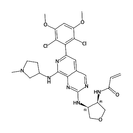 C=CC(=O)N[C@H]1COC[C@H]1Nc1ncc2cc(-c3c(Cl)c(OC)cc(OC)c3Cl)nc(NC3CCN(C)C3)c2n1